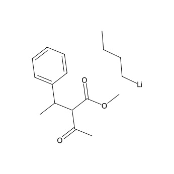 COC(=O)C(C(C)=O)C(C)c1ccccc1.[Li][CH2]CCC